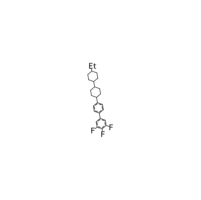 CCC1CCC(C2CCC(c3ccc(-c4cc(F)c(F)c(F)c4)cc3)CC2)CC1